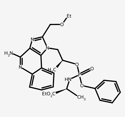 CCOCc1nc2c(N)nc3ccccc3c2n1C[C@H](C)OP(=O)(N[C@@H](C)C(=O)OCC)Oc1ccccc1